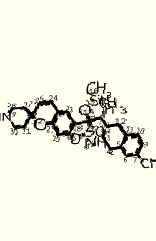 CC(C)[C@H]([C@@H]1CCc2cc(C#N)ccc2C1)C(O[SiH](C)C)(c1ccc2c(c1)C=CC1(CCNCC1)O2)S(N)(=O)=O